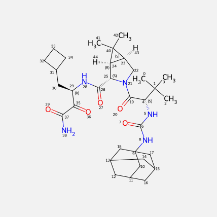 CC(C)(C)[C@H](NC(=O)NC12CC3CC(CC(C3)C1)C2)C(=O)N1C[C@H]2[C@@H]([C@H]1C(=O)N[C@H](CC1CCC1)C(=O)C(N)=O)C2(C)C